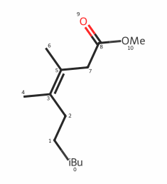 CCC(C)CC/C(C)=C(/C)CC(=O)OC